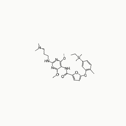 CC[Si](C)(C)c1ccc(C)c(Oc2ccc(C(=O)Nc3c(OC)nc(NCCCN(C)C)nc3OC)o2)c1